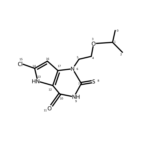 CC(C)OCCn1c(=S)[nH]c(=O)c2[nH]c(Cl)cc21